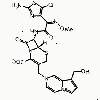 CO/N=C(\C(=O)N[C@@H]1C(=O)N2C(C(=O)[O-])=C(Cn3cc[n+]4ccc(CO)c-4c3)CS[C@@H]12)c1nc(N)sc1Cl